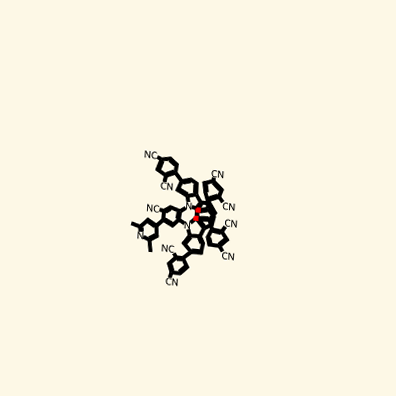 Cc1cc(-c2cc(-n3c4cc(-c5ccc(C#N)cc5C#N)ccc4c4ccc(-c5ccc(C#N)cc5C#N)cc43)c(-n3c4cc(-c5ccc(C#N)cc5C#N)ccc4c4ccc(-c5ccc(C#N)cc5C#N)cc43)cc2C#N)cc(C)n1